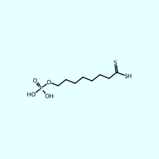 O=P(O)(O)OCCCCCCCC(=S)S